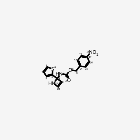 O=C(NC1(c2cccs2)C=CN1)OCc1ccc([N+](=O)[O-])cc1